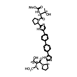 COC(=O)N[C@H](C(=O)N1CCCC1c1ncc(-c2ccc(-c3ccc(-c4cnc([C@@H]5CCCN5C(=O)[C@H]([C@@H](C)O)N(C)C(=O)O)[nH]4)cc3)cc2)[nH]1)[C@@H](C)O